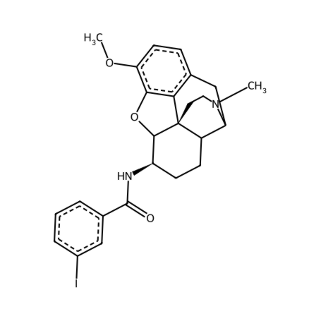 COc1ccc2c3c1OC1[C@H](NC(=O)c4cccc(I)c4)CCC4C(C2)N(C)CC[C@@]341